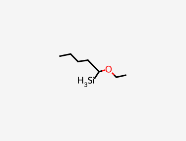 CCCCC([SiH3])OCC